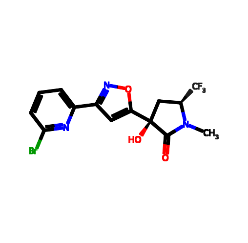 CN1C(=O)[C@](O)(c2cc(-c3cccc(Br)n3)no2)C[C@H]1C(F)(F)F